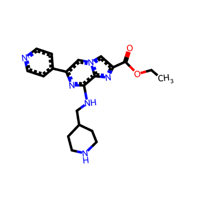 CCOC(=O)c1cn2cc(-c3ccncc3)nc(NCC3CCNCC3)c2n1